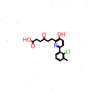 Cc1cccc(-c2ccc(O)c(CCC(=O)CCC(=O)O)n2)c1Cl